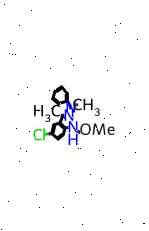 COCNc1ccc(Cl)cc1/C(C)=N/N(C)c1ccccc1